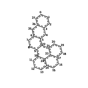 c1ccc2cc3c(ccc4c5cccc6ccc7cccc(c34)c7c65)cc2c1